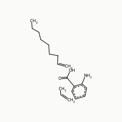 C=CC.C=CCCCCCCC.Nc1ccccc1C(=O)O